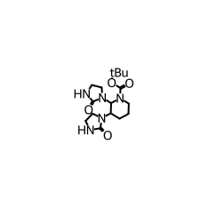 CC(C)(C)OC(=O)N1CCCC(N2CCNC2=O)C1N1CCNC1=O